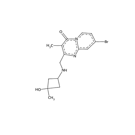 Cc1c(CNC2CC(C)(O)C2)nc2cc(Br)ccn2c1=O